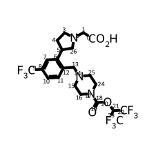 O=C(O)CN1CCC(c2cc(C(F)(F)F)ccc2CN2CCN(C(=O)OC(C(F)(F)F)C(F)(F)F)CC2)C1